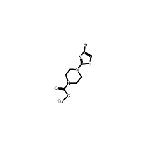 CC(C)(C)OC(=O)N1CCN(c2nc(Br)cs2)CC1